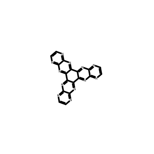 c1cnc2nc3c(nc2n1)c1nc2nccnc2nc1c1nc2nccnc2nc31